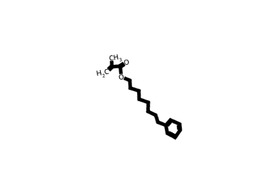 C=C(C)C(=O)OCCCCCCCCc1ccccc1